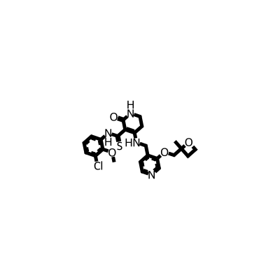 COc1c(Cl)cccc1NC(=S)C1=C(NCc2ccncc2OCC2(C)CCO2)CCNC1=O